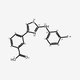 O=C(O)c1cccc(-c2csc(Nc3cccc(F)c3)n2)c1